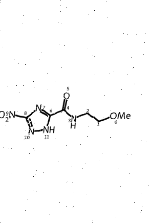 COCCNC(=O)c1nc([N+](=O)[O-])n[nH]1